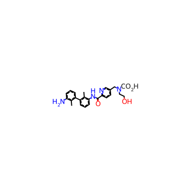 Cc1c(N)cccc1-c1cccc(NC(=O)c2ccc(CN(CCO)C(=O)O)cn2)c1C